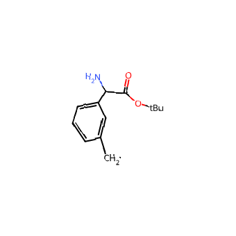 [CH2]c1cccc(C(N)C(=O)OC(C)(C)C)c1